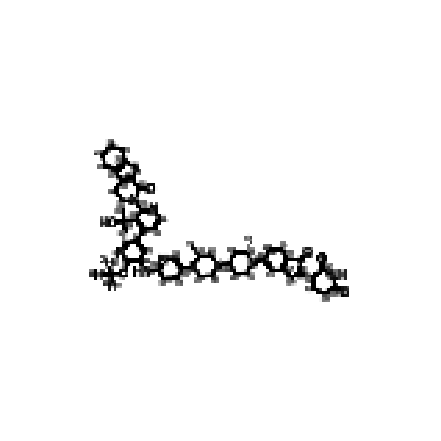 [2H]C([2H])([2H])Oc1ncc(-c2ccnc(N3CCc4c(sc5c4CCCC5)C3=O)c2C(C)(C)O)cc1Nc1ccc(N2CCN(C3CCN(c4ccc5c(c4)CN([C@H]4CCC(=O)NC4=O)C5=O)[C@@H](C)C3)C[C@@H]2C)cn1